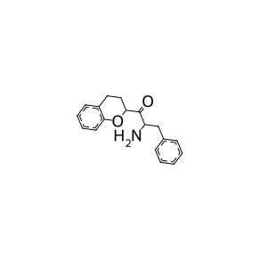 NC(Cc1ccccc1)C(=O)C1CCc2ccccc2O1